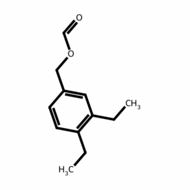 CCc1ccc(COC=O)cc1CC